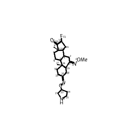 CON=C1CC2C(CC[C@]3(C)C(=O)C(F)CC23)[C@@]2(C)CCC(=NOC3CCNC3)CC12